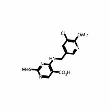 COc1ncc(CNc2nc(SC)ncc2C(=O)O)cc1Cl